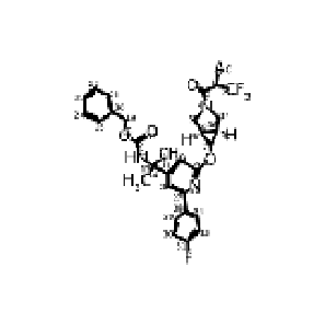 CC(=O)C(C(=O)N1C[C@@H]2C(Oc3cc(C(C)(C)NC(=O)OCc4ccccc4)cc(-c4ccc(F)cc4)n3)[C@@H]2C1)C(F)(F)F